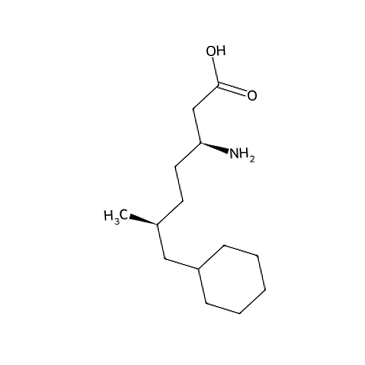 C[C@@H](CC[C@H](N)CC(=O)O)CC1CCCCC1